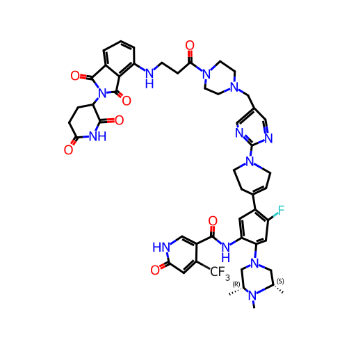 C[C@@H]1CN(c2cc(F)c(C3=CCN(c4ncc(CN5CCN(C(=O)CCNc6cccc7c6C(=O)N(C6CCC(=O)NC6=O)C7=O)CC5)cn4)CC3)cc2NC(=O)c2c[nH]c(=O)cc2C(F)(F)F)C[C@H](C)N1C